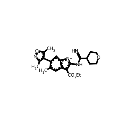 CCOC(=O)c1c(NC(=N)C2CCOCC2)[nH]c2cc(-c3c(C)noc3C)c(C)cc12